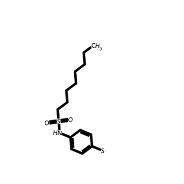 CCCCCCCCS(=O)(=O)Nc1ccc([S])cc1